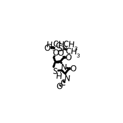 CC(=O)OCC1=C(C(=O)O[Si](C)(C)C)N2C(=O)[C@@H](N=C=O)[C@H]2SC1